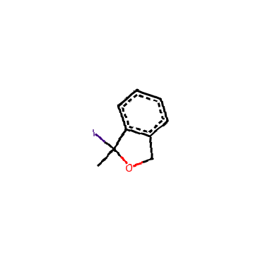 CC1(I)OCc2ccccc21